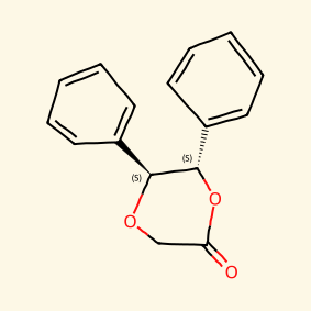 O=C1CO[C@@H](c2ccccc2)[C@H](c2ccccc2)O1